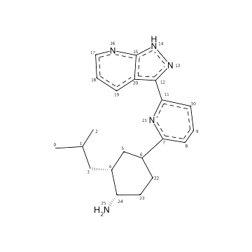 CC(C)C[C@@H]1CC(c2cccc(-c3n[nH]c4ncccc34)n2)CC[C@@H]1N